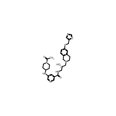 CC(=O)N1CCC(Nc2cncc(C(=O)NC[C@H](O)CN3CCc4cc(OCc5cnco5)ccc4C3)c2)CC1